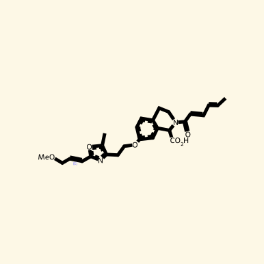 CC=CC=CC(=O)N1CCc2ccc(OCCc3nc(/C=C/COC)oc3C)cc2C1C(=O)O